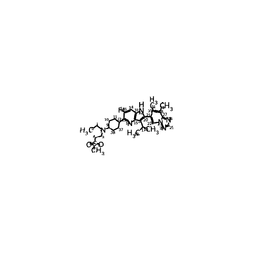 CCN(CCS(C)(=O)=O)C1CCC(c2nc3c(C(C)C)c(-c4cn5ncnc5c(C)c4C)[nH]c3cc2F)CC1